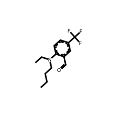 CCCCN(CC)c1ccc(C(F)(F)F)cc1C=O